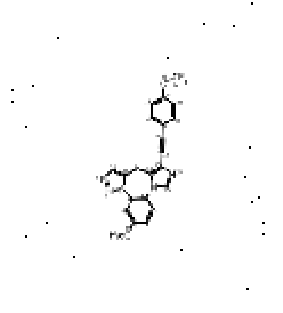 COc1ccc2c(c1)-n1nncc1Cc1c(C#Cc3ccc(OC(F)(F)F)cc3)ncn1-2